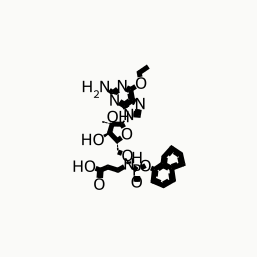 CCOc1nc(N)nc2c1ncn2[C@@H]1O[C@H](CON(CCC(=O)O)[PH](=O)Oc2cccc3ccccc23)[C@@H](O)[C@@]1(C)O